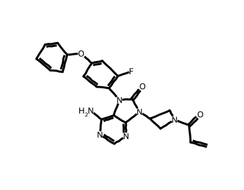 C=CC(=O)N1CC(n2c(=O)n(-c3ccc(Oc4ccccc4)cc3F)c3c(N)ncnc32)C1